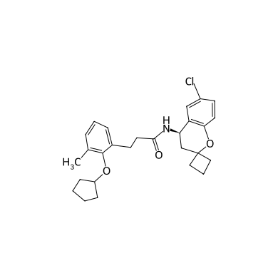 Cc1cccc(CCC(=O)N[C@@H]2CC3(CCC3)Oc3ccc(Cl)cc32)c1OC1CCCC1